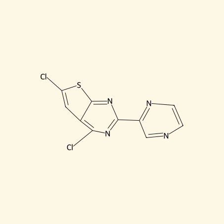 Clc1cc2c(Cl)nc(-c3cnccn3)nc2s1